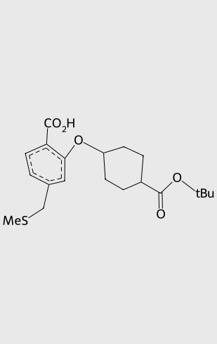 CSCc1ccc(C(=O)O)c(OC2CCC(C(=O)OC(C)(C)C)CC2)c1